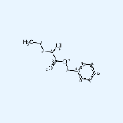 CCCC(O)C(=O)OCc1ccccc1